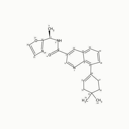 C[C@@H](NC(=O)c1cnc2c(C3=CCC(C)(C)CC3)cccc2c1)c1ncco1